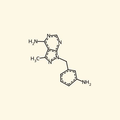 Cc1nn(Cc2cccc(N)c2)c2ncnc(N)c12